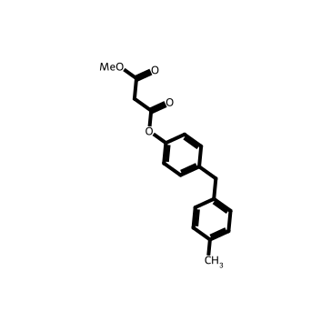 COC(=O)CC(=O)Oc1ccc(Cc2ccc(C)cc2)cc1